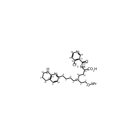 CC(C)OCCN(CCCCc1ccc2c(n1)NCCC2)CCC(NC(=O)c1cnccc1C(F)(F)F)C(=O)O